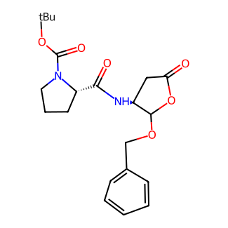 CC(C)(C)OC(=O)N1CCC[C@H]1C(=O)N[C@H]1CC(=O)OC1OCc1ccccc1